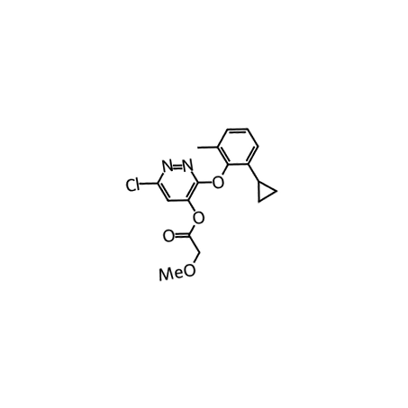 COCC(=O)Oc1cc(Cl)nnc1Oc1c(C)cccc1C1CC1